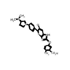 Cc1ccc(Oc2nc3nc(-c4ccc(N5CCC(N(C)C)C5)cc4)c(Cl)cc3[nH]2)cc1C(=O)O